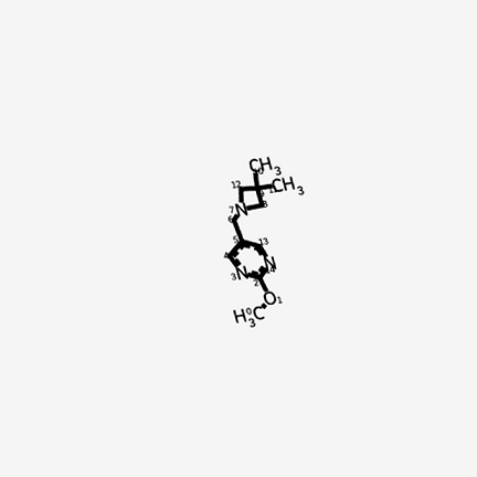 COc1ncc(CN2CC(C)(C)C2)cn1